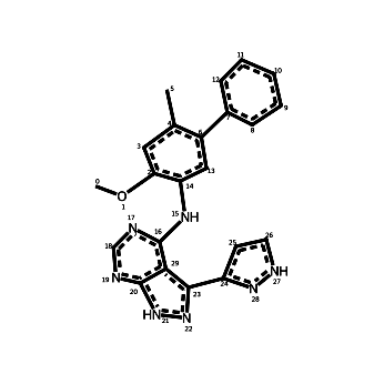 COc1cc(C)c(-c2ccccc2)cc1Nc1ncnc2[nH]nc(-c3cc[nH]n3)c12